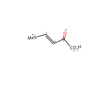 CSC=CC(=O)C(=O)O